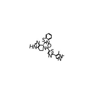 Cc1c(-c2ncc(C(=O)N3CCc4[nH]cnc4[C@H]3c3nc4ccccc4s3)s2)cnn1C